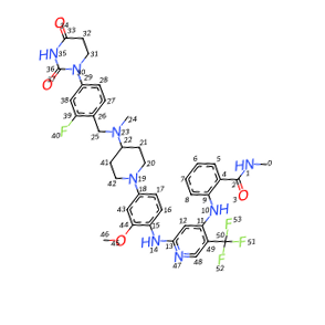 CNC(=O)c1ccccc1Nc1cc(Nc2ccc(N3CCC(N(C)Cc4ccc(N5CCC(=O)NC5=O)cc4F)CC3)cc2OC)ncc1C(F)(F)F